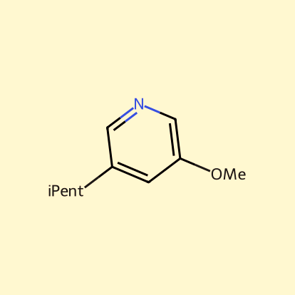 CCCC(C)c1cncc(OC)c1